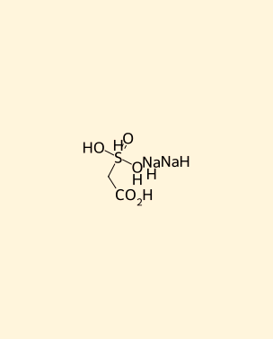 O=C(O)C[SH](=O)(O)O.[NaH].[NaH]